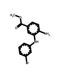 COC(=O)c1ccc(N)c(Nc2cccc(Br)c2)c1